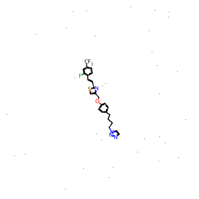 Fc1cc(C(F)(F)F)ccc1/C=C/c1nc(COc2ccc(CCCCn3ccnn3)cc2)cs1